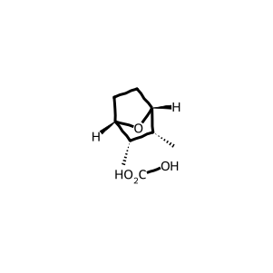 C[C@@H]1[C@H](C)[C@@H]2CC[C@H]1O2.O=C(O)O